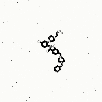 O=C(Nc1ccc(Cl)cc1N1CCN(CCC(F)(F)F)CC1)c1ccc(CN2CCN(CC3CCCCC3)CC2)cc1F